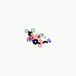 CN(C)CCCOC(=O)c1ccc(NS(=O)(=O)c2cc(Cl)c(Cl)s2)cc1OC(=O)C(F)(F)F